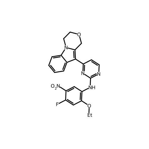 CCOc1cc(F)c([N+](=O)[O-])cc1Nc1nccc(-c2c3n(c4ccccc24)CCOC3)n1